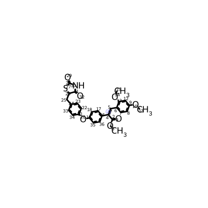 COC(=O)/C(=C\c1ccc(OC)cc1OC)c1ccc(Oc2ccc(CC3SC(=O)NC3=O)cc2)cc1